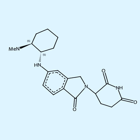 CN[C@H]1CCCC[C@@H]1Nc1ccc2c(c1)CN(C1CCC(=O)NC1=O)C2=O